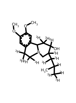 [2H]C([2H])([2H])C([2H])(C)C([2H])([2H])C1([2H])CN2C(c3cc(OC)c(OC)cc3C([2H])([2H])C2([2H])[2H])C([2H])([2H])C1([2H])O